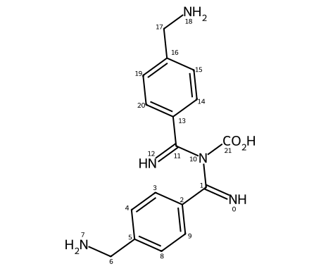 N=C(c1ccc(CN)cc1)N(C(=N)c1ccc(CN)cc1)C(=O)O